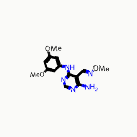 CON=Cc1c(N)ncnc1Nc1cc(OC)cc(OC)c1